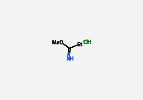 CCC(=N)OC.Cl